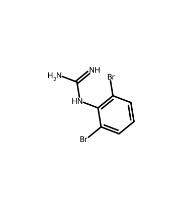 N=C(N)Nc1c(Br)cccc1Br